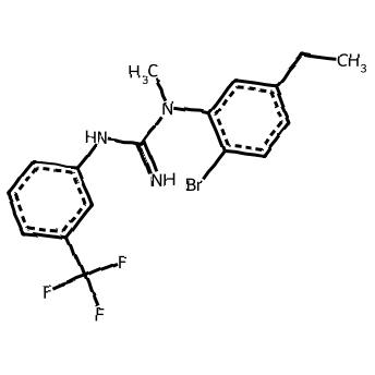 CCc1ccc(Br)c(N(C)C(=N)Nc2cccc(C(F)(F)F)c2)c1